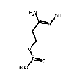 CC(C)CO[PH](=O)OCCC(N)=NO